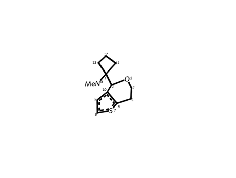 CNC1(C2OCCc3sccc32)CCC1